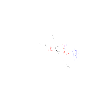 C=C(C)C1CCC(C)=CC1c1c(O)cc(CCCCC)c(S(=O)(=O)NC(=O)c2ncn[nH]2)c1O